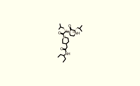 CCC(CC)NC(=O)CC1CCN(C(=O)[C@H](CC(C)C)N2CCN[C@@H](CC(C)C)C2=O)CC1